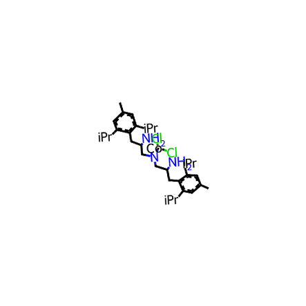 Cc1cc(C(C)C)c(CC(N)C[N](CC(N)Cc2c(C(C)C)cc(C)cc2C(C)C)[Co]([Cl])[Cl])c(C(C)C)c1